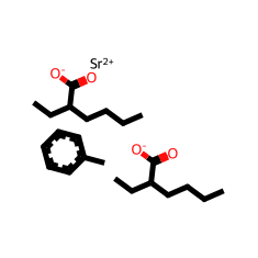 CCCCC(CC)C(=O)[O-].CCCCC(CC)C(=O)[O-].Cc1ccccc1.[Sr+2]